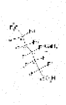 O=S(=O)(O)C(F)(F)C(F)(F)C(F)(F)C(F)(F)C(F)(F)C(F)(F)F.[GaH3]